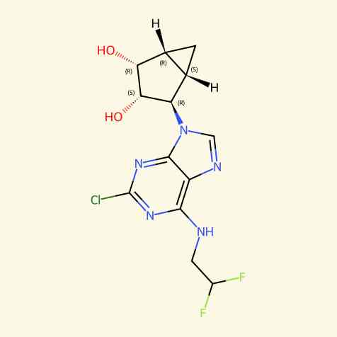 O[C@@H]1[C@H](O)[C@@H]2C[C@@H]2[C@H]1n1cnc2c(NCC(F)F)nc(Cl)nc21